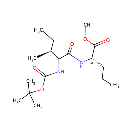 CCC[C@H](NC(=O)C(NC(=O)OC(C)(C)C)[C@@H](C)CC)C(=O)OC